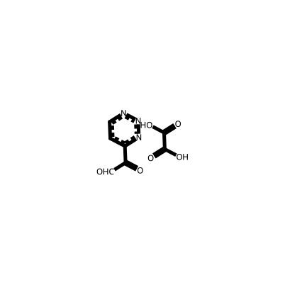 O=C(O)C(=O)O.O=CC(=O)c1ccnnn1